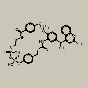 C=C(c1ccc(OC)c(NC(=O)OCc2ccc(OP(=O)(O)OP(=O)(O)OCCNC(=O)c3ccc(C)cc3)cc2)c1)c1cc(C)nc2ccccc12